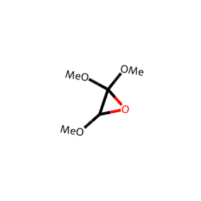 COC1OC1(OC)OC